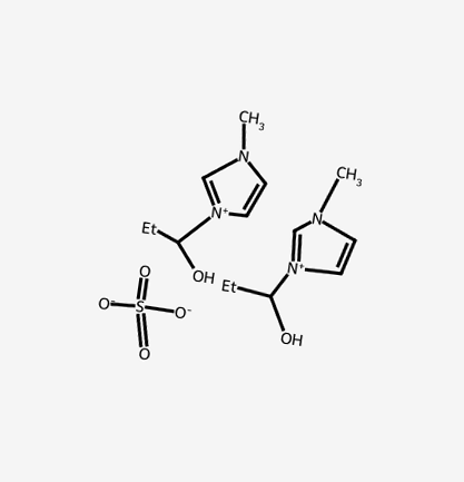 CCC(O)[n+]1ccn(C)c1.CCC(O)[n+]1ccn(C)c1.O=S(=O)([O-])[O-]